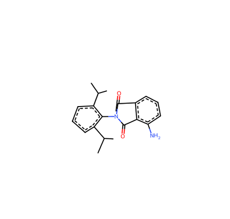 CC(C)c1cccc(C(C)C)c1N1C(=O)c2cccc(N)c2C1=O